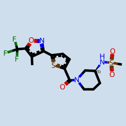 Cc1c(-c2ccc(C(=O)N3CCC[C@H](NS(C)(=O)=O)C3)s2)noc1C(F)(F)F